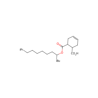 CCC(C)C(CCCCCCC(C)C)OC(=O)C1CC=CCC1C(=O)O